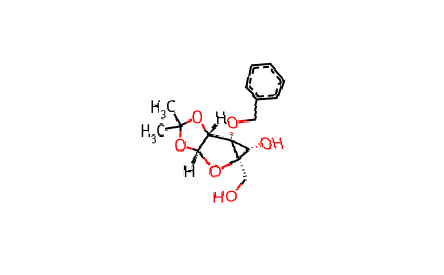 CC1(C)O[C@H]2O[C@]3(CO)[C@@H](O)[C@]3(OCc3ccccc3)[C@H]2O1